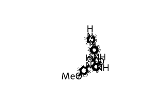 COC1CCC(Nc2cc[nH]c(=O)c2C(=O)Nc2ccc(N3CCNCC3)cc2)CC1